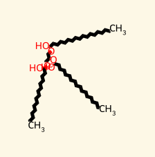 CCCCCCCCCCCCCCCCCC(O)OCC(CO[C@H](O)CCCCCCCCCCCCCCC)O[C@@H](O)CCCCCCCCCCCCCCCCC